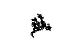 Cc1cc(C#N)cc(C(=O)NC(C)C)c1NC(=O)c1cc(N2CC(F)(F)C2)nn1-c1ncccc1Cl